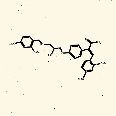 COc1ccc(/C=C(/C(N)=O)c2ccc(OCC(O)CNCc3ccc(OC)cc3OC)cc2)c(OC)c1